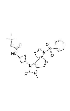 Cn1c(=O)n(C2CC(NC(=O)OC(C)(C)C)C2)c2c3ccn(S(=O)(=O)c4ccccc4)c3ncc21